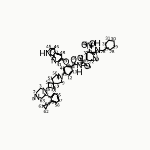 CN1CCN(C2CC3(CCN(c4ccc(C(=O)NS(=O)(=O)c5cnc(NCC6CCCCC6)c([N+](=O)[O-])c5)c(Oc5cnc6[nH]ccc6c5)c4)CC3)C2)[C@@H](c2ccccc2C2CC2)C1